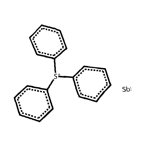 [Sb].c1ccc([S+](c2ccccc2)c2ccccc2)cc1